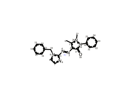 Cc1c(/N=N/c2nccn2Cc2ccccc2)c(=O)n(-c2ccccc2)n1C